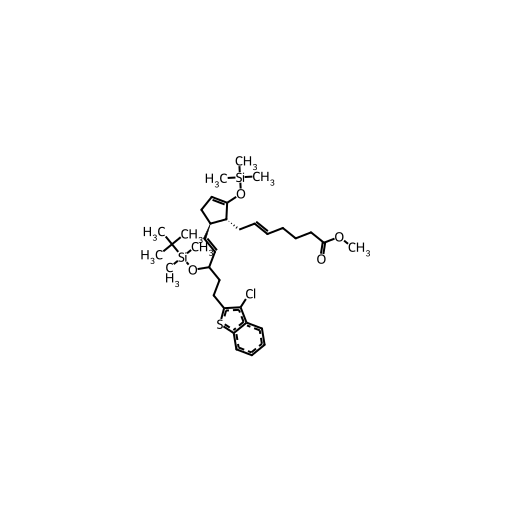 COC(=O)CCCC=CC[C@H]1C(O[Si](C)(C)C)=CC[C@@H]1C=CC(CCc1sc2ccccc2c1Cl)O[Si](C)(C)C(C)(C)C